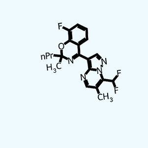 CCCC1(C)N=C(c2cnn3c(C(F)F)c(C)cnc23)c2cccc(F)c2O1